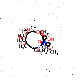 CO[C@H]1/C=C/O[C@@]2(C)Oc3c(C)c(O)c4c(=O)c(c5n(C)c6cc(OC(C)C)ccc6nc-5c4c3C2=O)NC(=O)/C(C)=C\C=C\[C@H](C)[C@H](O)[C@@H](C)[C@@H](O)[C@@H](C)[C@H](OC(C)=O)[C@@H]1C